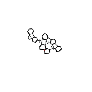 c1ccc(-n2c3ccccc3c3ccc4c5cccc6c5n(c4c32)-c2ccccc2N6c2ccc3oc4ccccc4c3c2)cc1